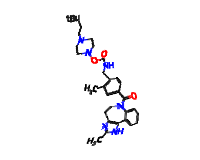 Cc1nc2c([nH]1)-c1ccccc1N(C(=O)c1ccc(CNC(=O)ON3CCN(CCC(C)(C)C)CC3)c(C)c1)CC2